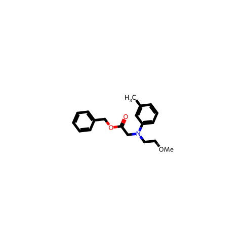 COCCN(CC(=O)OCc1ccccc1)c1cccc(C)c1